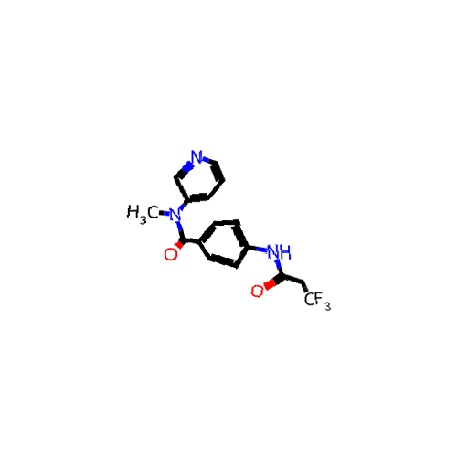 CN(C(=O)c1ccc(NC(=O)CC(F)(F)F)cc1)c1cccnc1